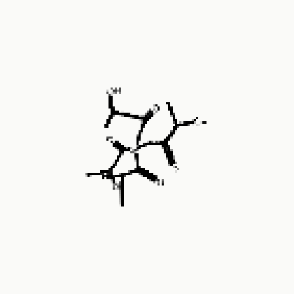 CC(O)C(=O)[Si](C(=O)C(C)O)(C(=O)C(C)O)C(=O)C(C)O